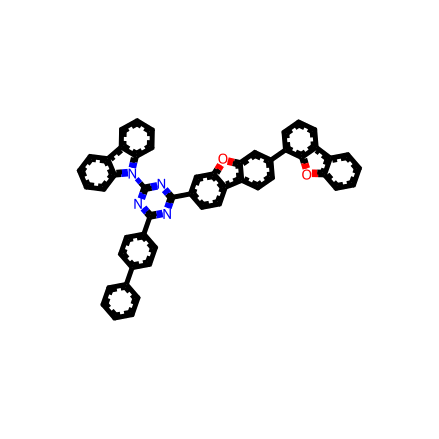 c1ccc(-c2ccc(-c3nc(-c4ccc5c(c4)oc4cc(-c6cccc7c6oc6ccccc67)ccc45)nc(-n4c5ccccc5c5ccccc54)n3)cc2)cc1